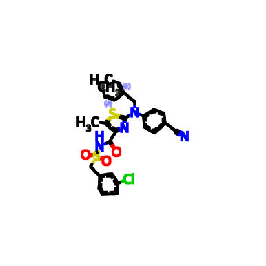 C/C=C\C(=C/C)CN(c1ccc(C#N)cc1)c1nc(C(=O)NS(=O)(=O)Cc2cccc(Cl)c2)c(C)s1